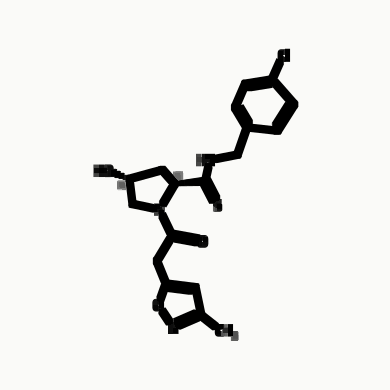 Cc1cc(CC(=O)N2C[C@H](O)C[C@H]2C(=S)NCc2ccc(Cl)cc2)on1